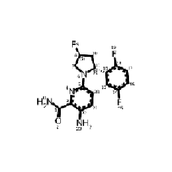 NC(=O)c1nc(N2C[C@@H](F)C[C@@H]2c2cc(F)ccc2F)ccc1N